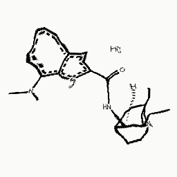 CN(C)c1cccc2cc(C(=O)N[C@@H]3C4CCN(CC4)C3(C)C)sc12.Cl